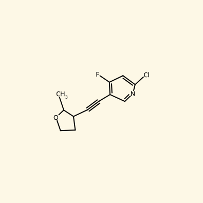 CC1OCCC1C#Cc1cnc(Cl)cc1F